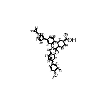 COc1ccc(C23CCC(CN(C(=O)C4CCC(C(=O)O)CC4)c4cccc(-c5cnn(C6CC6)c5)c4)(CC2)CC3)cc1C